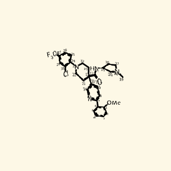 COc1ccccc1-c1ccc(C2(C(=O)N[C@H]3CCN(C)C3)CCN(c3ccc(C(F)(F)F)cc3Cl)CC2)cn1